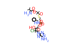 CC(C)[C@H](N)C(=O)OCC(C)(C)C(=O)SCCO[P@@](=O)(NCc1ccccc1)OC[C@H]1O[C@@H](n2cnc3c(N)ncnc32)[C@](C)(Cl)[C@@H]1O